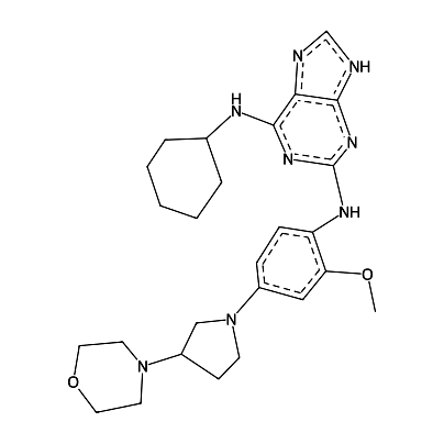 COc1cc(N2CCC(N3CCOCC3)C2)ccc1Nc1nc(NC2CCCCC2)c2nc[nH]c2n1